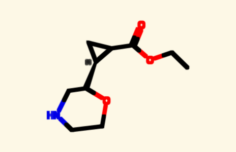 CCOC(=O)C1C[C@@H]1C1CNCCO1